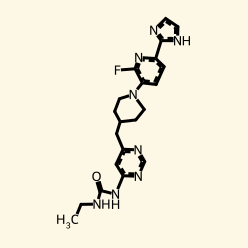 CCNC(=O)Nc1cc(CC2CCN(c3ccc(-c4ncc[nH]4)nc3F)CC2)ncn1